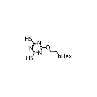 CCCCCCCCOc1nc(S)nc(S)n1